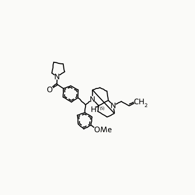 C=CCN1C2CC[C@H]3C1CCC2N3C(c1ccc(C(=O)N2CCCC2)cc1)c1cccc(OC)c1